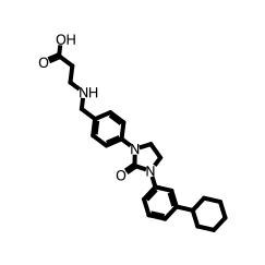 O=C(O)CCNCc1ccc(N2CCN(c3cccc(C4CCCCC4)c3)C2=O)cc1